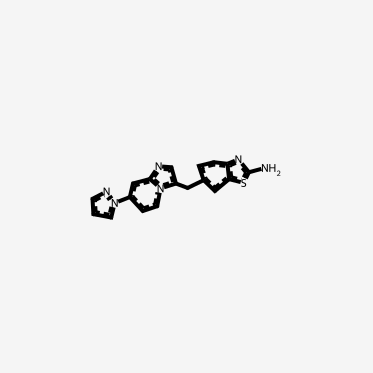 Nc1nc2ccc(Cc3cnc4cc(-n5cccn5)ccn34)cc2s1